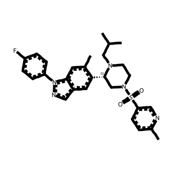 Cc1ccc(S(=O)(=O)N2CCN(CC(C)C)[C@@H](c3cc4cnn(-c5ccc(F)cc5)c4cc3C)C2)cn1